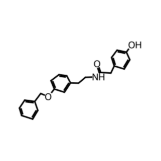 O=C(Cc1ccc(O)cc1)NCCc1cccc(OCc2ccccc2)c1